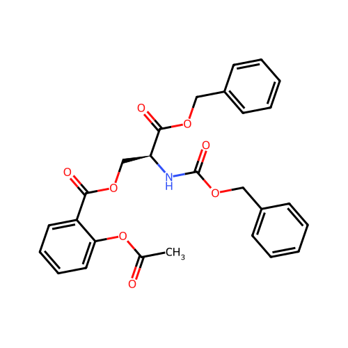 CC(=O)Oc1ccccc1C(=O)OC[C@H](NC(=O)OCc1ccccc1)C(=O)OCc1ccccc1